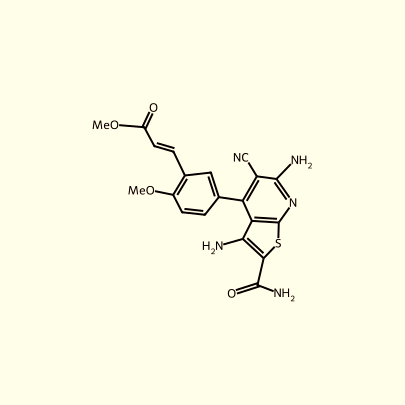 COC(=O)/C=C/c1cc(-c2c(C#N)c(N)nc3sc(C(N)=O)c(N)c23)ccc1OC